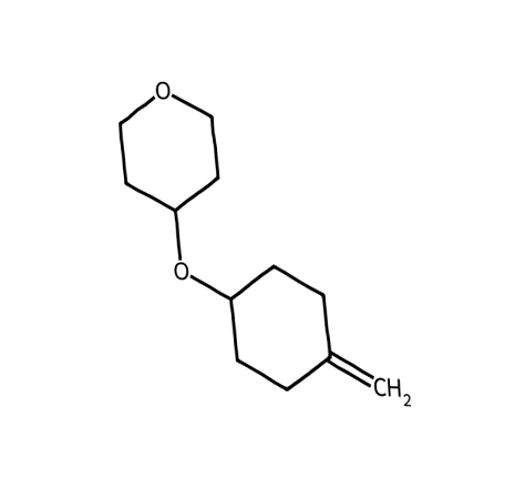 C=C1CCC(OC2CCOCC2)CC1